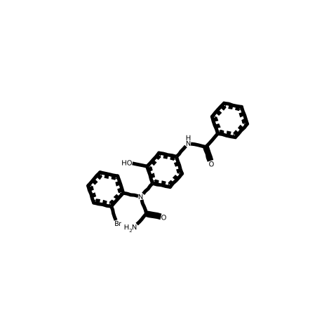 NC(=O)N(c1ccc(NC(=O)c2ccccc2)cc1O)c1ccccc1Br